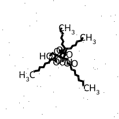 CCCCCCCCC(=O)OCC(O)(C(=O)CCCCCCCC)C(O)(C(=O)CCCCCCCC)C(O)(CO)C(=O)CCCCCCCC